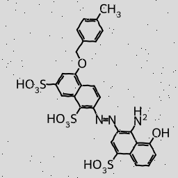 Cc1ccc(COc2cc(S(=O)(=O)O)cc3c(S(=O)(=O)O)c(N=Nc4cc(S(=O)(=O)O)c5cccc(O)c5c4N)ccc23)cc1